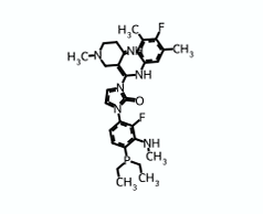 CCP(CC)c1ccc(-n2ccn(/C(Nc3cc(C)c(F)c(C)c3)=C3\CN(C)CCC3=N)c2=O)c(F)c1NC